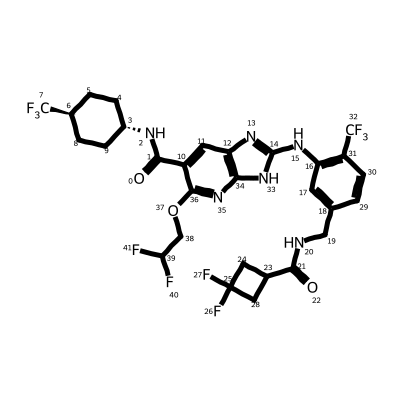 O=C(N[C@H]1CC[C@H](C(F)(F)F)CC1)c1cc2nc(Nc3cc(CNC(=O)C4CC(F)(F)C4)ccc3C(F)(F)F)[nH]c2nc1OCC(F)F